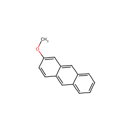 COc1ccc2cc3ccccc3cc2c1